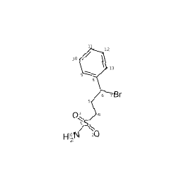 NS(=O)(=O)CCC(Br)c1ccccc1